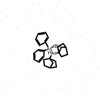 CC(C)(C)[AsH](c1ccccc1)(c1ccccc1)[As](C12CCC(CC1)C2)C12CCC(CC1)C2